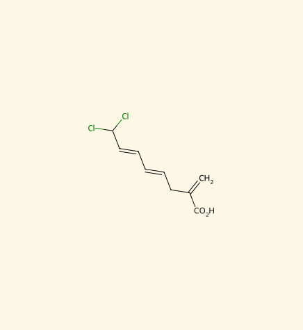 C=C(CC=CC=CC(Cl)Cl)C(=O)O